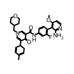 COc1ccnc(N)c1-c1ccc(NC(=O)c2cn(CC3CCOCC3)cc(C3C=CC(C)=CC3)c2=O)cc1F